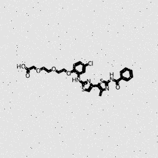 Cc1nc(NC(=O)c2ccccc2)sc1-c1csc(Nc2cc(Cl)ccc2OCCOCCOCC(=O)O)n1